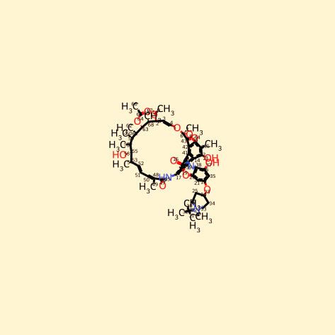 CO[C@H]1/C=C/O[C@@]2(C)Oc3c(C)c(O)c4c(=O)c(c5oc6cc(OC7CC[N+](C)(C(C)(C)C)CC7)cc(O)c6nc-5c4c3C2=O)NC(=O)/C(C)=C\C=C\[C@H](C)[C@H](O)[C@@H](C)[C@@H](C)[C@@H](C)[C@H](OC(C)=O)[C@@H]1C